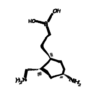 NC[C@H]1C[C@@H](N)C[C@@H]1CCB(O)O